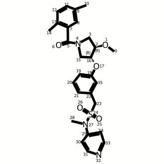 CO[C@@H]1CN(C(=O)c2cc(C)ccc2C)C[C@H]1Oc1cccc(CS(=O)(=O)N(C)c2ccncc2)c1